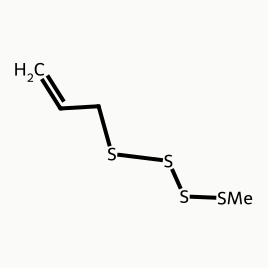 C=CCSSSSC